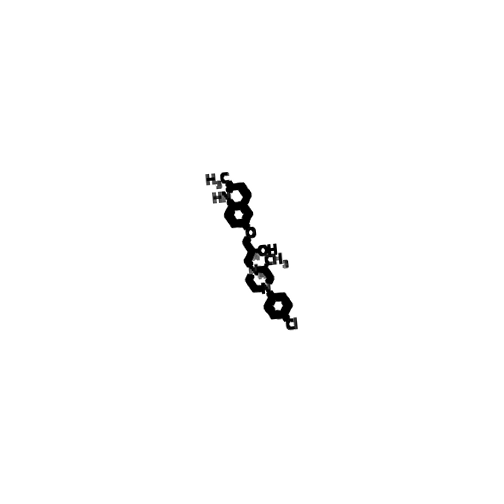 CC1C=Cc2cc(OC[C@@H](O)CN3CCN(c4ccc(Cl)cc4)C[C@H]3C)ccc2N1